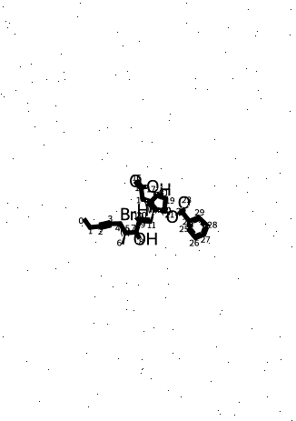 CCC#CC[C@H](C)C(O)C(Br)=C[C@H]1[C@@H]2CC(=O)O[C@H]2C[C@H]1OC(=O)c1ccccc1